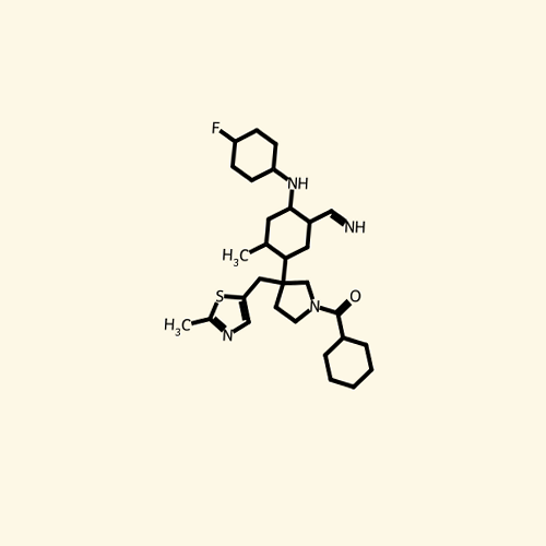 Cc1ncc(CC2(C3CC(C=N)C(NC4CCC(F)CC4)CC3C)CCN(C(=O)C3CCCCC3)C2)s1